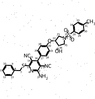 [C-]#[N+]c1c(N)nc(SCc2ccccc2)c(C#N)c1-c1ccc(O[C@H]2CN(S(=O)(=O)c3ccc(C)cc3)C[C@@H]2O)cc1